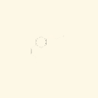 CC/C=C\c1ccc(OC[SiH3])cc1